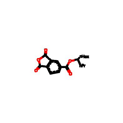 CCCCCCC(CCC)OC(=O)c1ccc2c(c1)C(=O)OC2=O